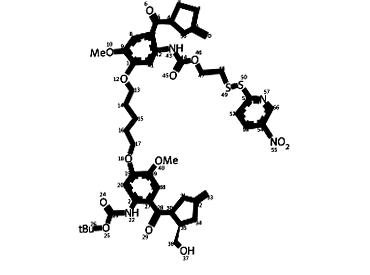 C=C1CCC(C(=O)c2cc(OC)c(OCCCCCOc3cc(NC(=O)OC(C)(C)C)c(C(=O)C4CC(=C)C[C@H]4CO)cc3OC)cc2NC(=O)OCCSSc2ccc([N+](=O)[O-])cn2)C1